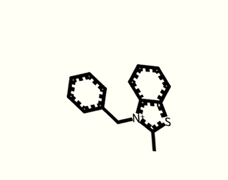 Cc1sc2ccccc2[n+]1Cc1ccccc1